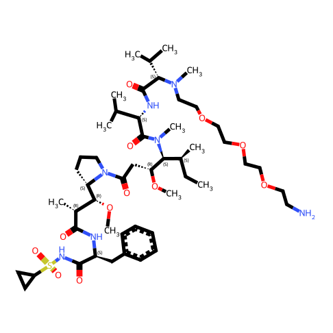 CC[C@H](C)[C@@H]([C@@H](CC(=O)N1CCC[C@H]1[C@H](OC)[C@@H](C)C(=O)N[C@@H](Cc1ccccc1)C(=O)NS(=O)(=O)C1CC1)OC)N(C)C(=O)[C@@H](NC(=O)[C@H](C(C)C)N(C)CCOCCOCCOCCN)C(C)C